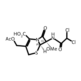 CO[C@@]1(NC(=O)C(Cl)Cl)C(=O)N2C(C(=O)O)=C(COC(C)=O)CS[C@@H]21